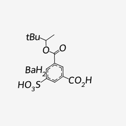 CC(OC(=O)c1cc(C(=O)O)cc(S(=O)(=O)O)c1)C(C)(C)C.[BaH2]